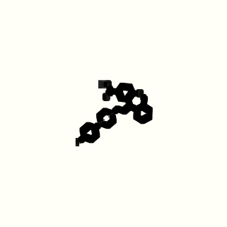 O=C(O)c1ccc2c(c1)/C(=C\CN1CCN(c3ccc(F)cc3)CC1)c1ccccc1CO2